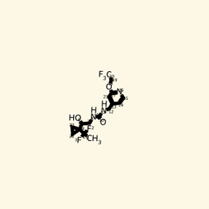 CC(F)(F)C1(C(O)CNC(=O)NCc2ccnc(OCC(F)(F)F)c2)CC1